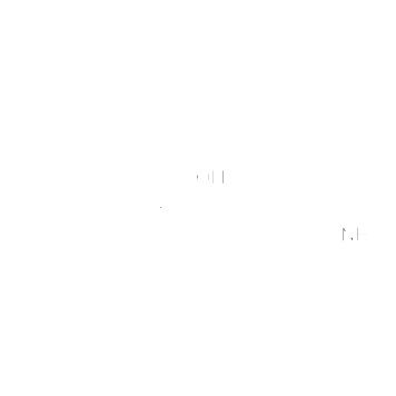 OC(CC1CCNCC1)(c1ccccc1)c1ccccc1